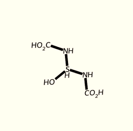 O=C(O)N[SH](O)NC(=O)O